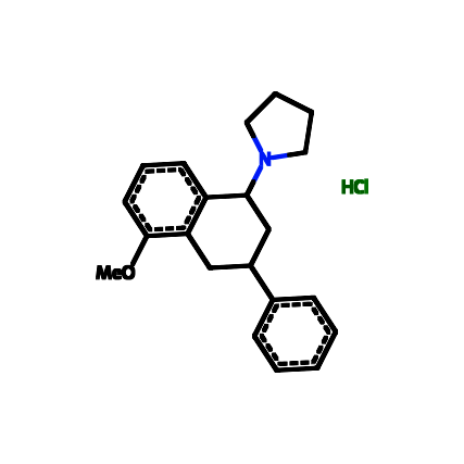 COc1cccc2c1CC(c1ccccc1)CC2N1CCCC1.Cl